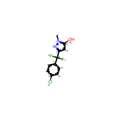 Cn1nc(C(F)(F)c2ccc(Cl)cc2)cc1O